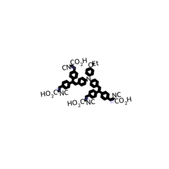 [C-]#[N+]/C(=C\c1ccc(C(=Cc2ccc(N(c3ccc(C=C(c4ccc(/C=C(\[N+]#[C-])C(=O)O)cc4)c4ccc(/C=C(\[N+]#[C-])C(=O)O)cc4)cc3)c3ccc(OCC)cc3)cc2)c2ccc(/C=C(\[N+]#[C-])C(=O)O)cc2)cc1)C(=O)O